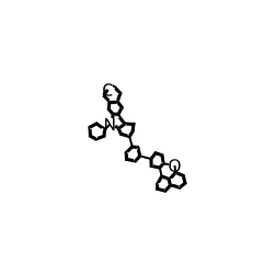 c1ccc(-n2c3cc(-c4cccc(-c5ccc6c(c5)-c5cccc7cccc(c57)O6)c4)ccc3c3cc4ccccc4cc32)cc1